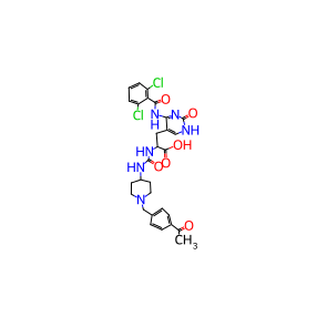 CC(=O)c1ccc(CN2CCC(NC(=O)NC(Cc3c[nH]c(=O)nc3NC(=O)c3c(Cl)cccc3Cl)C(=O)O)CC2)cc1